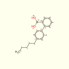 CCCCCc1ccc(-c2ccccc2B(O)O)cc1